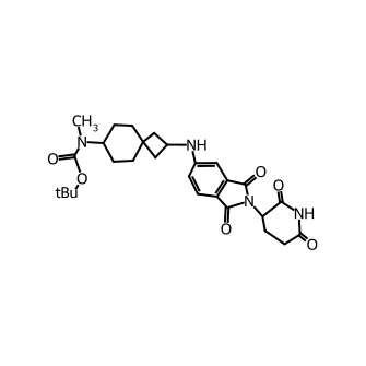 CN(C(=O)OC(C)(C)C)C1CCC2(CC1)CC(Nc1ccc3c(c1)C(=O)N(C1CCC(=O)NC1=O)C3=O)C2